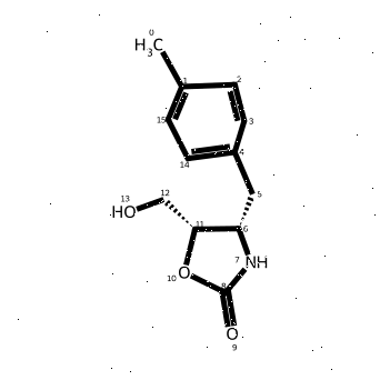 Cc1ccc(C[C@@H]2NC(=O)O[C@@H]2CO)cc1